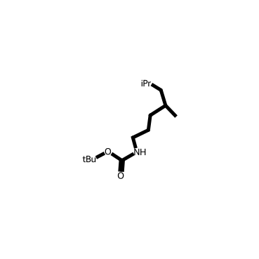 CC(C)CC(C)CCCNC(=O)OC(C)(C)C